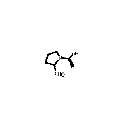 C=C(CCC)N1CCCC1C=O